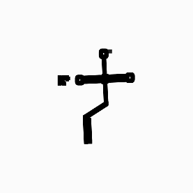 C=CCS(=O)(=O)[O-].[K+]